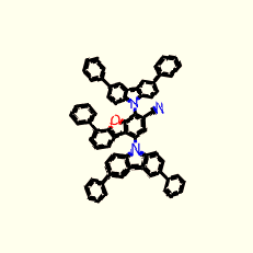 N#Cc1cc(-n2c3ccc(-c4ccccc4)cc3c3cc(-c4ccccc4)ccc32)c2c(oc3c(-c4ccccc4)cccc32)c1-n1c2ccc(-c3ccccc3)cc2c2cc(-c3ccccc3)ccc21